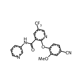 COc1cc(C#N)ccc1Oc1ncc(C(F)(F)F)cc1C(=O)Nc1cccnc1